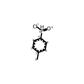 Cc1ccc([PH](=O)Cl)cc1